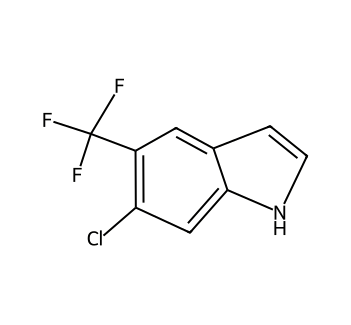 FC(F)(F)c1cc2cc[nH]c2cc1Cl